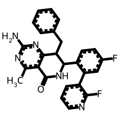 Cc1nc(N)nc2c1C(=O)NC(c1ccc(F)cc1-c1cccnc1F)C2Cc1ccccc1